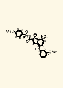 CCn1c(C(=O)NS(=O)(=O)c2ccc(OC)cc2)cc2c(Nc3cccc(OC)c3)ccc([N+](=O)[O-])c21